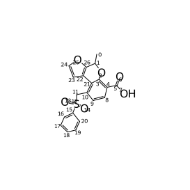 CC1Oc2c(C(=O)O)ccc(CS(=O)(=O)c3ccccc3)c2-c2ccoc21